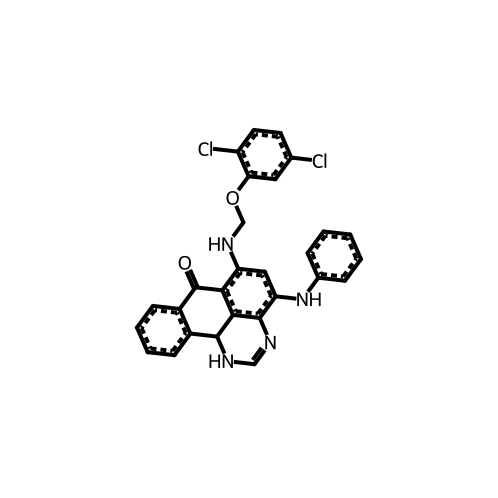 O=C1c2ccccc2C2NC=Nc3c(Nc4ccccc4)cc(NCOc4cc(Cl)ccc4Cl)c1c32